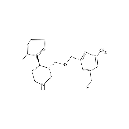 Cc1ccccc1[C@@H]1CCNC[C@H]1COCc1cc(CF)cc(C(F)(F)F)c1